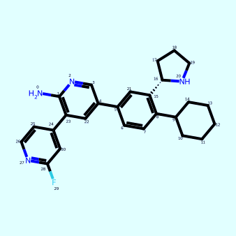 Nc1ncc(-c2ccc(C3CCCCC3)c([C@@H]3CCCN3)c2)cc1-c1ccnc(F)c1